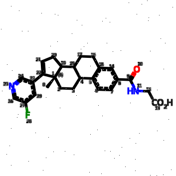 C[C@]12CCC3c4ccc(C(=O)NCC(=O)O)cc4CCC3C1CC=C2c1cncc(F)c1